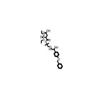 CCOP(=O)(OCC)C(CC(=O)O)C(=O)OC(C)(C)CONC(=N)c1ccc(OCc2ccccc2)cc1